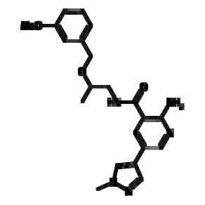 COc1cccc(COC(C)CNC(=O)c2cc(-c3cnn(C)c3)cnc2N)c1